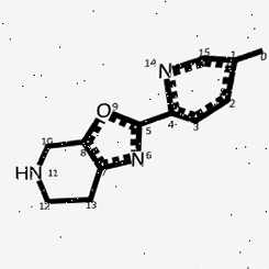 Cc1ccc(-c2nc3c(o2)CNCC3)nc1